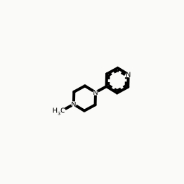 CN1CCN(c2[c]cncc2)CC1